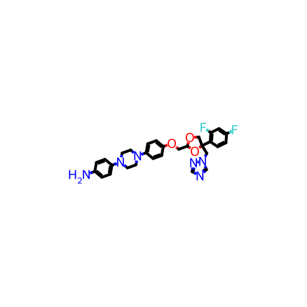 Nc1ccc(N2CCN(c3ccc(OCC4OCC(Cn5cncn5)(c5ccc(F)cc5F)O4)cc3)CC2)cc1